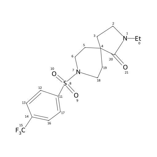 CCN1CCC2(CCN(S(=O)(=O)c3ccc(C(F)(F)F)cc3)CC2)C1=O